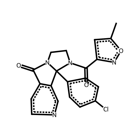 Cc1cc(C(=O)N2CCN3C(=O)c4ccncc4C23c2ccc(Cl)cc2)no1